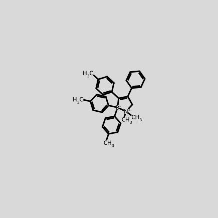 Cc1ccc(C2=C(c3ccccc3)C[N+](C)(C)[B-]2(c2ccc(C)cc2)c2ccc(C)cc2)cc1